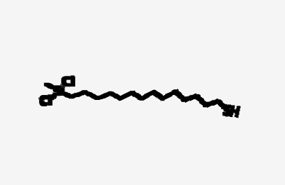 C[Si](Cl)(Cl)CCCCCCCCCCCCCCS